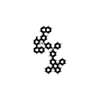 Cc1ccc(-c2cccc3ccccc23)cc1-c1cc(C2=CC=CC3C=CC=CC23)ccc1Nc1ccc(N(c2ccccc2)c2ccc(-c3ccc4c(-c5ccccc5)c5ccccc5c(-c5ccccc5)c4c3)cc2)cc1